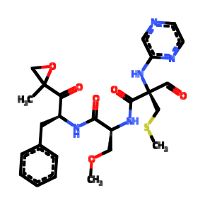 COC[C@H](NC(=O)[C@](C=O)(CSC)Nc1cnccn1)C(=O)N[C@@H](Cc1ccccc1)C(=O)C1(C)CO1